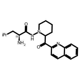 CC(C)C[C@H](N)C(=O)NN1CCCCC1C(=O)c1ccc2ccccc2n1